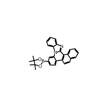 CC1(C)OB(c2ccc3c4ccc5ccccc5c4c4nc5ccccc5n4c3c2)OC1(C)C